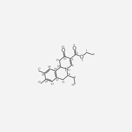 CCOC(=O)C1=CN2C(CC)Cc3cc(C)c(C)cc3C2CC1=O